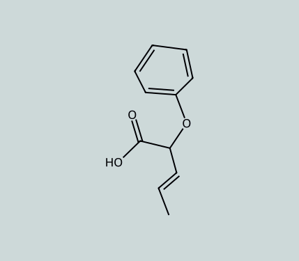 CC=CC(Oc1ccccc1)C(=O)O